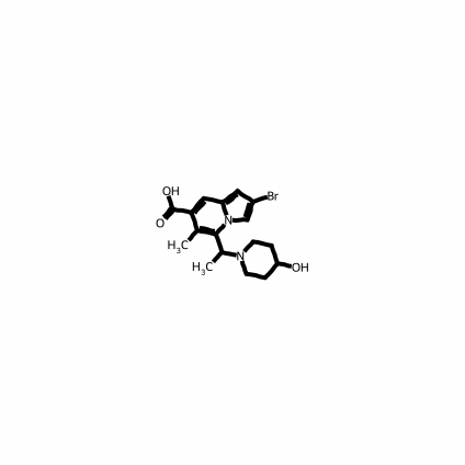 Cc1c(C(=O)O)cc2cc(Br)cn2c1C(C)N1CCC(O)CC1